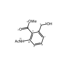 COC(=O)c1c(CO)cccc1NC(C)=O